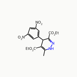 CCOC(=O)C1=NNC(C)=C(C(=O)OCC)C1c1cc([N+](=O)[O-])cc([N+](=O)[O-])c1